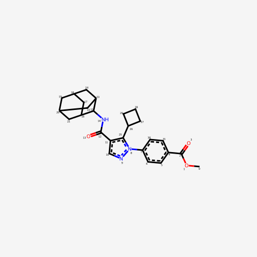 COC(=O)c1ccc(-n2ncc(C(=O)NC3C4CC5CC(C4)CC3C5)c2C2CCC2)cc1